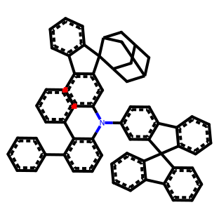 c1ccc(-c2cccc(N(c3ccc4c(c3)C3(c5ccccc5-c5ccccc53)c3ccccc3-4)c3ccc4c(c3)C3(c5ccccc5-4)C4CC5CC(C4)CC3C5)c2-c2ccccc2)cc1